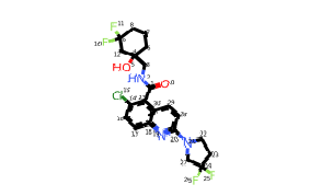 O=C(NCC1(O)CCCC(F)(F)C1)c1c(Cl)ccc2nc(N3CCC(F)(F)C3)ccc12